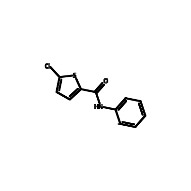 O=C(Nc1[c]cccc1)c1ccc(Cl)s1